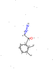 Cc1cccc(C(=O)C=[N+]=[N-])c1C